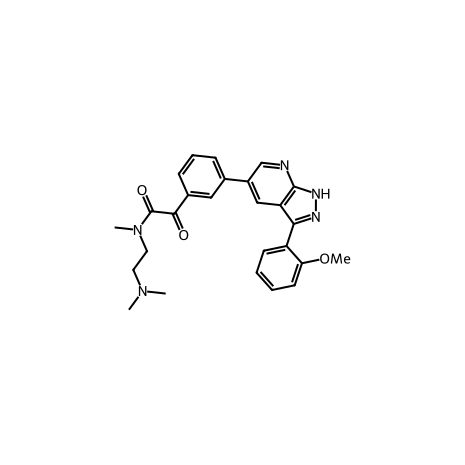 COc1ccccc1-c1n[nH]c2ncc(-c3cccc(C(=O)C(=O)N(C)CCN(C)C)c3)cc12